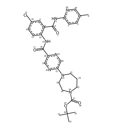 Cc1ccc(NC(=O)c2cc(Cl)ccc2NC(=O)c2cnc(N3CCCN(C(=O)OC(C)(C)C)CC3)cn2)nc1